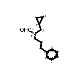 O=[C]N(CCCc1ccccc1)CC1CC1